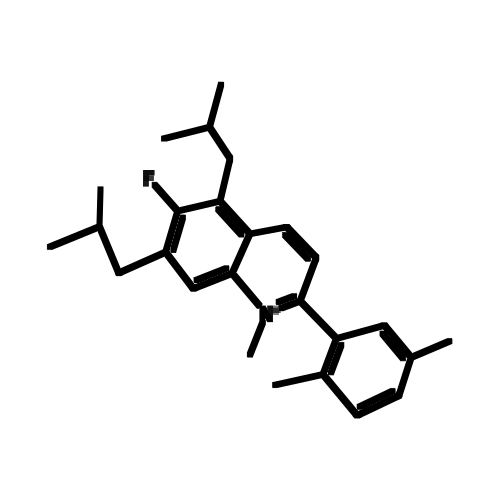 Cc1ccc(C)c(-c2ccc3c(CC(C)C)c(F)c(CC(C)C)cc3[n+]2C)c1